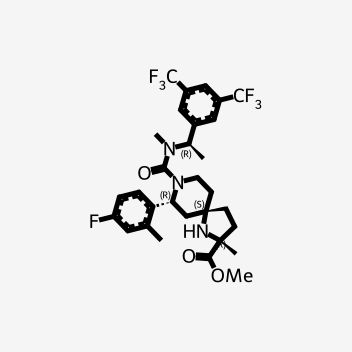 COC(=O)[C@@]1(C)CC[C@@]2(CCN(C(=O)N(C)[C@H](C)c3cc(C(F)(F)F)cc(C(F)(F)F)c3)[C@@H](c3ccc(F)cc3C)C2)N1